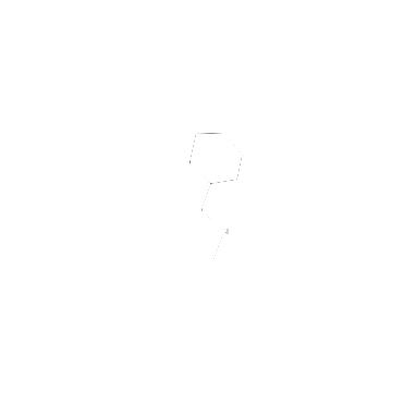 CN[C@H](C)C1CCOCC1